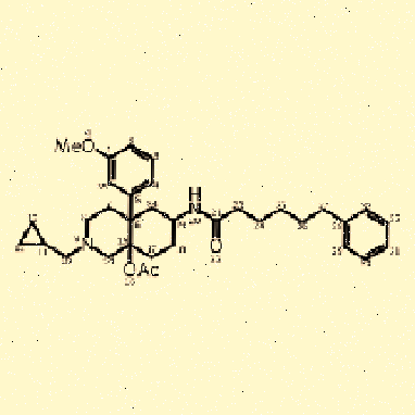 COc1cccc(C23CCN(CC4CC4)CC2(OC(C)=O)CCC(NC(=O)CCCCCc2ccccc2)C3)c1